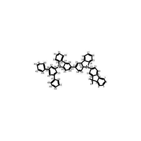 CC1(C)c2ccccc2-c2ccc(N3c4ccccc4C4C=C(c5ccc6c(c5)c5ccccc5n6-c5cc(-c6ccccc6)cc(-c6ccccc6)c5)C=CC43)cc21